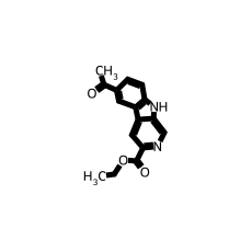 CCOC(=O)c1cc2c(cn1)[nH]c1ccc(C(C)=O)cc12